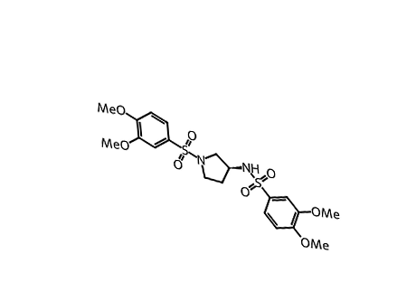 COc1ccc(S(=O)(=O)N[C@H]2CCN(S(=O)(=O)c3ccc(OC)c(OC)c3)C2)cc1OC